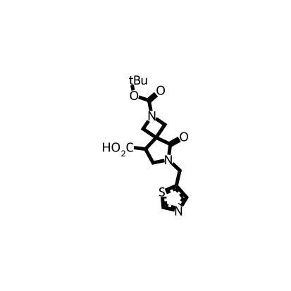 CC(C)(C)OC(=O)N1CC2(C1)C(=O)N(Cc1cncs1)CC2C(=O)O